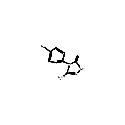 Nc1n[nH]c(=S)n1-c1ccc(Br)cc1